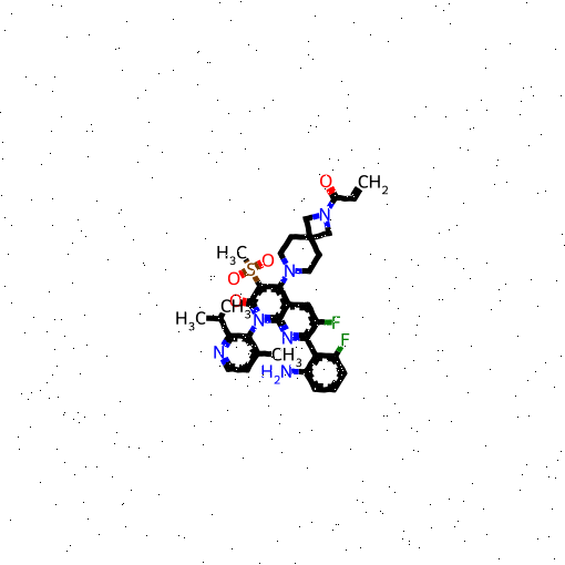 C=CC(=O)N1CC2(CCN(c3c(S(C)(=O)=O)c(=O)n(-c4c(C)ccnc4C(C)C)c4nc(-c5c(N)cccc5F)c(F)cc34)CC2)C1